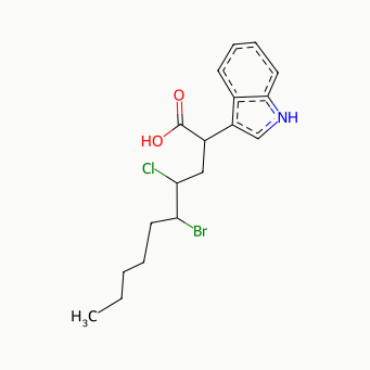 CCCCCC(Br)C(Cl)CC(C(=O)O)c1c[nH]c2ccccc12